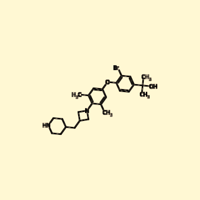 Cc1cc(Oc2ccc(C(C)(C)O)cc2Br)cc(C)c1N1CC(CC2CCNCC2)C1